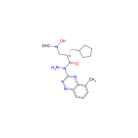 Cc1cccc2nnc(N(N)C(=O)[C@@H](CC3CCCC3)CN(O)C=O)nc12